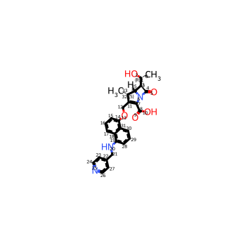 C[C@@H](O)[C@H]1C(=O)N2C(C(=O)O)=C(COc3cccc4c(NCc5ccncc5)cccc34)[C@H](C)[C@H]12